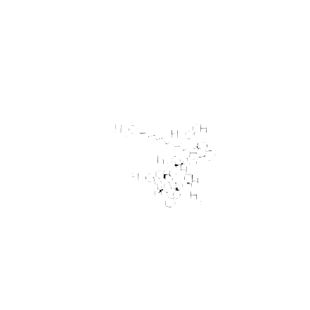 CC(C)COC(=O)C(C1CCCCC1)C(C(=O)OCC(C)C)C1CCCC1.CCCCCCCCCCCCCCC(C(=O)OCC(C)C)C(CC1CCCCC1)C(=O)OCC(C)C